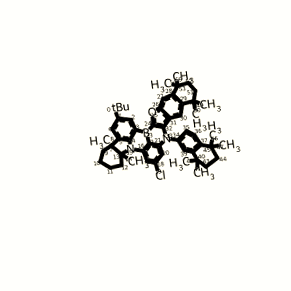 CC(C)(C)c1cc2c3c(c1)C1(C)CCCCC1(C)N3c1cc(Cl)cc3c1B2c1oc2cc4c(cc2c1N3c1ccc2c(c1)C(C)(C)CCC2(C)C)C(C)(C)CCC4(C)C